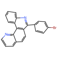 Brc1ccc(-c2nc3ccccc3c3c2ccc2cccnc23)cc1